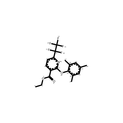 CCOC(=O)c1ccc(C(F)(F)C(F)(F)F)nc1Oc1c(C)cc(C)cc1C